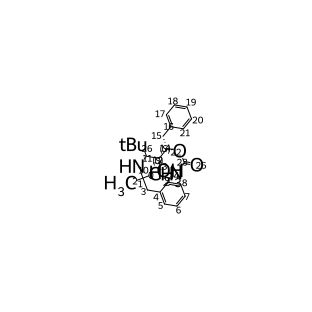 CC(C)(Cc1ccccc1)NC([C@H](O)[C@H](Cc1ccccc1)OC(N)=O)C(C)(C)C